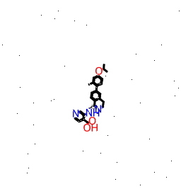 Cc1cc(OC(C)C)ccc1-c1ccc2c(c1)CCN(C)[C@@H]2CNc1cnccc1C(=O)O